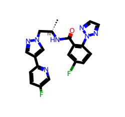 C[C@@H](Cn1cc(-c2ccc(F)cn2)cn1)NC(=O)c1cc(F)ccc1-n1nccn1